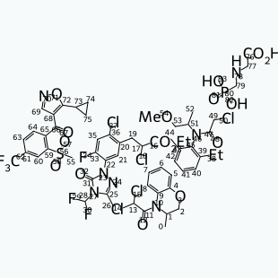 CC1COc2ccccc2N1C(=O)C(Cl)Cl.CCOC(=O)C(Cl)Cc1cc(-n2nc(C)n(C(F)F)c2=O)c(F)cc1Cl.CCc1cccc(C)c1N(C(=O)CCl)C(C)COC.CS(=O)(=O)c1cc(C(F)(F)F)ccc1C(=O)c1cnoc1C1CC1.O=C(O)CNCP(=O)(O)O